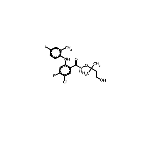 Cc1cc(I)ccc1Nc1cc(F)c(Cl)cc1C(=O)NOC(C)(C)CCO